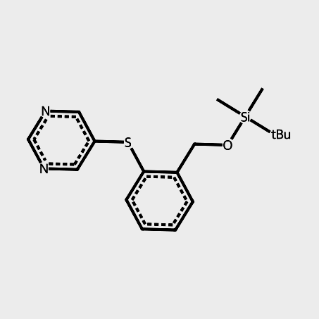 CC(C)(C)[Si](C)(C)OCc1ccccc1Sc1cncnc1